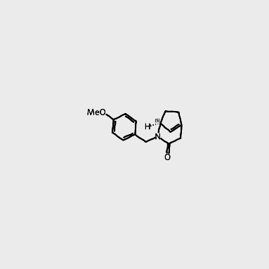 COc1ccc(CN2C(=O)CC3=C[C@@H]2CC3)cc1